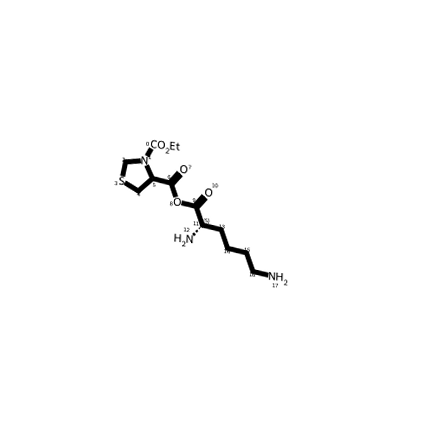 CCOC(=O)N1CSCC1C(=O)OC(=O)[C@@H](N)CCCCN